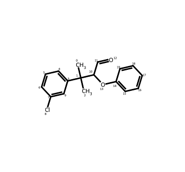 CC(C)(c1cccc(Cl)c1)C(C=O)Oc1ccccc1